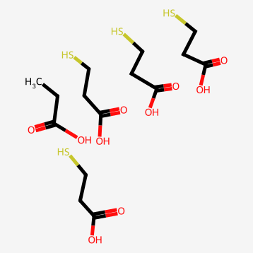 CCC(=O)O.O=C(O)CCS.O=C(O)CCS.O=C(O)CCS.O=C(O)CCS